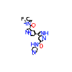 C[C@@H](NC(=O)c1cnn2ccc(-c3c[nH]c4ncc(C(=O)NC5CCN(C)CC5)cc34)cc12)C(F)(F)F